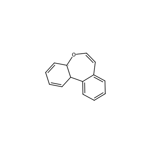 C1=C[C]2OC=Cc3ccccc3C2C=C1